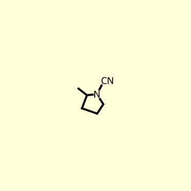 C[C]1CCCN1C#N